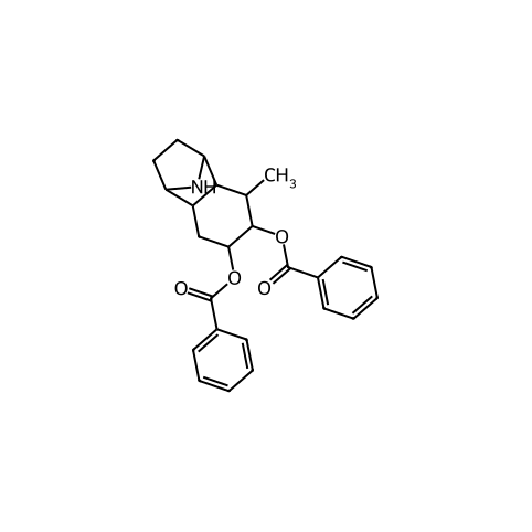 CC1C(OC(=O)c2ccccc2)C(OC(=O)c2ccccc2)CC2C3CCC(N3)C12